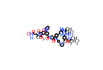 Cc1cc(F)c(Nc2nc(-c3ccc4c(c3)N(C3CC(N5CCCCC5)C3)C(=O)C43CCN(C(=O)c4ccc(C(=O)N5C6CCC5CN(c5ccc7c(c5)C(=O)N(C(C)CCC(=O)NC=O)C7=O)C6)cc4)CC3)cc3ncn(C(C)C)c23)cc1C(=O)NC(C)C